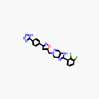 Fc1cccc(-c2nc3c([nH]2)C=NN(Cc2cc(-c4ccc(-c5nnn[nH]5)cc4)no2)C3)c1F